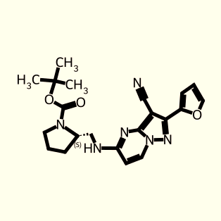 CC(C)(C)OC(=O)N1CCC[C@H]1CNc1ccn2nc(-c3ccco3)c(C#N)c2n1